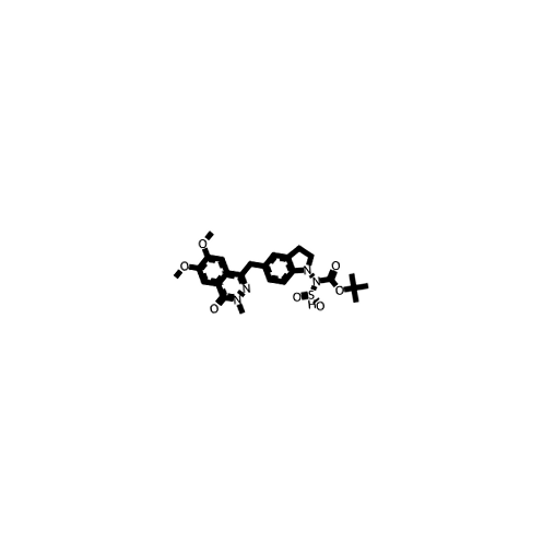 COc1cc2c(Cc3ccc4c(c3)CCN4N(C(=O)OC(C)(C)C)[SH](=O)=O)nn(C)c(=O)c2cc1OC